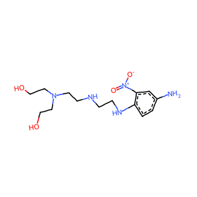 Nc1ccc(NCCNCCN(CCO)CCO)c([N+](=O)[O-])c1